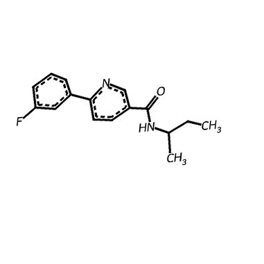 CCC(C)NC(=O)c1ccc(-c2cccc(F)c2)nc1